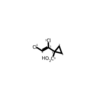 O=C(O)C1(/C(Cl)=C/Cl)CC1